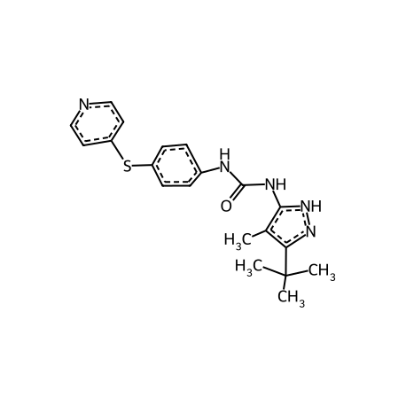 Cc1c(C(C)(C)C)n[nH]c1NC(=O)Nc1ccc(Sc2ccncc2)cc1